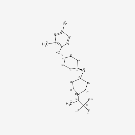 Cc1nc(Br)ccc1O[C@H]1CC[C@H](OC2CCN(C(C)C(F)(F)F)CC2)CC1